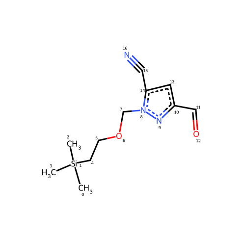 C[Si](C)(C)CCOCn1nc(C=O)cc1C#N